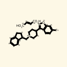 Fc1ccc2c(C3CCN(CC4CCc5ccccc54)CC3)noc2c1.O=C(O)C=CC(=O)O